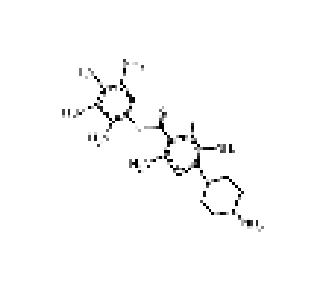 Cc1c(N)c(C2CCC(N)CC2)cc(N)c1C(=O)Oc1cc(N)c(N)c(N)c1N